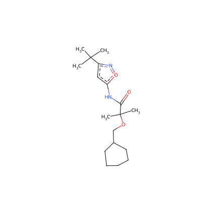 CC(C)(OCC1CCCCC1)C(=O)Nc1cc(C(C)(C)C)no1